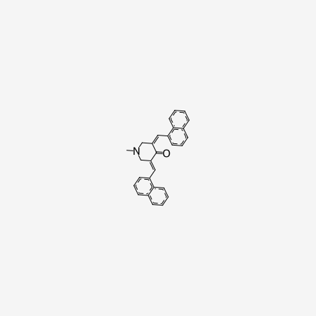 CN1CC(=Cc2cccc3ccccc23)C(=O)C(=Cc2cccc3ccccc23)C1